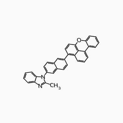 Cc1nc2ccccc2n1-c1ccc2cc(-c3ccc4c5c(cccc35)-c3ccccc3O4)ccc2c1